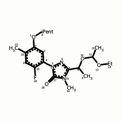 CCCC(C)Oc1cc(-n2nc(C(C)OC(C)OCC)n(C)c2=O)c(F)cc1C